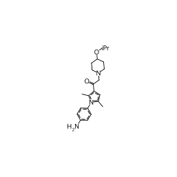 Cc1cc(C(=O)CN2CCC(OC(C)C)CC2)c(C)n1-c1ccc(N)cc1